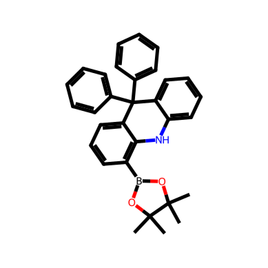 CC1(C)OB(c2cccc3c2Nc2ccccc2C3(c2ccccc2)c2ccccc2)OC1(C)C